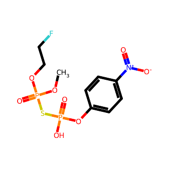 COP(=O)(OCCF)SP(=O)(O)Oc1ccc([N+](=O)[O-])cc1